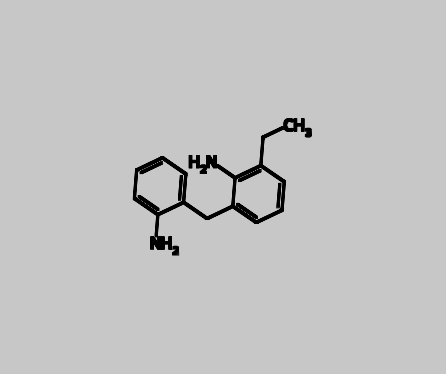 CCc1cccc(Cc2ccccc2N)c1N